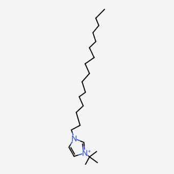 CCCCCCCCCCCCCCCCn1cc[n+](C(C)(C)C)c1